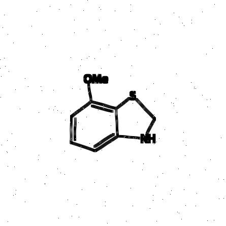 COc1cccc2c1SCN2